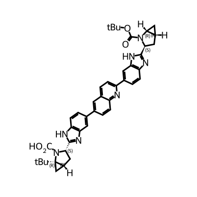 CC(C)(C)OC(=O)N1[C@@H]2C[C@@H]2C[C@H]1c1nc2ccc(-c3ccc4cc(-c5ccc6[nH]c([C@@H]7C[C@@H]8C[C@@]8(C(C)(C)C)N7C(=O)O)nc6c5)ccc4n3)cc2[nH]1